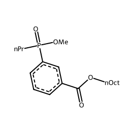 CCCCCCCCOC(=O)c1cccc(P(=O)(CCC)OC)c1